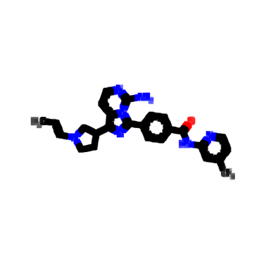 CC=CN1CCC(c2nc(-c3ccc(C(=O)Nc4cc(C(F)(F)F)ccn4)cc3)n3c(N)nccc23)C1